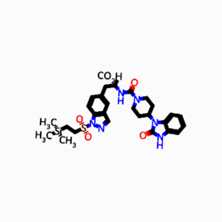 C[Si](C)(C)CCS(=O)(=O)n1ncc2cc(CC(NC(=O)N3CCC(n4c(=O)[nH]c5ccccc54)CC3)C(=O)O)ccc21